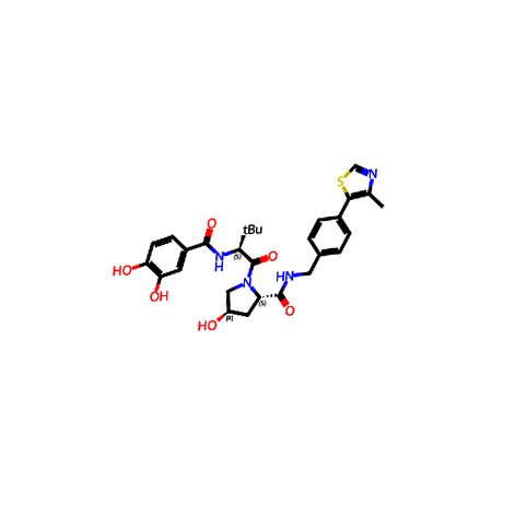 Cc1ncsc1-c1ccc(CNC(=O)[C@@H]2C[C@@H](O)CN2C(=O)[C@@H](NC(=O)c2ccc(O)c(O)c2)C(C)(C)C)cc1